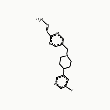 NN=Nc1ncc(CN2CCC(c3cncc(F)c3)CC2)cn1